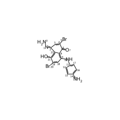 NN=C1C=C(Br)C(=O)c2c(Nc3ccc(N)cc3)cc(Br)c(O)c21